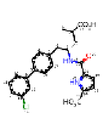 C[C@H](C[C@@H](Cc1ccc(-c2cccc(Cl)c2)cc1)NC(=O)c1ccc(C(=O)O)[nH]1)C(=O)O